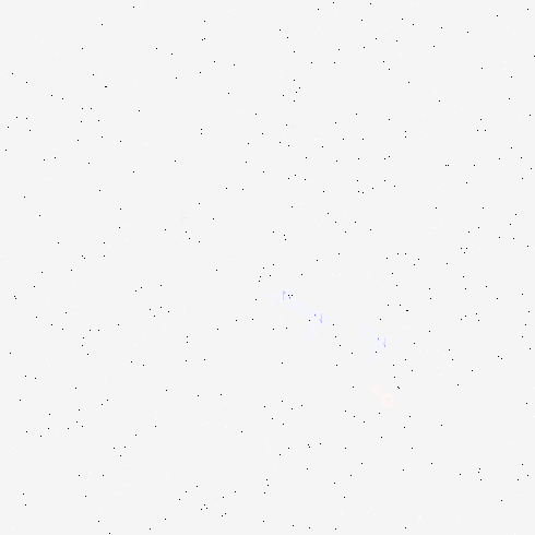 O=c1cc2cc(-c3c(Cl)cccc3Cl)c(Sc3ccc(F)cc3F)nn2cn1